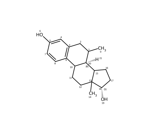 CC1Cc2cc(O)ccc2C2CCC3(C)C(CC[C@@H]3O)[C@H]12